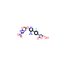 CN(C)c1cc(O[C@@H]2COc3nc([N+](=O)[O-])cn3C2)ncc1-c1ccc(N2C[C@H](CO)OC2=O)cc1F